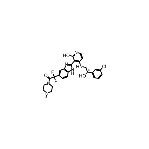 CN1CCN(C(=O)C(F)(F)c2ccc3[nH]c(-c4c(NC[C@H](O)c5cccc(Cl)c5)ccnc4O)nc3c2)CC1